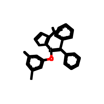 Cc1cc(C)cc([O][Ti]([C]2=C(C(C)(C)C)C=CC2)=[C](c2ccccc2)c2ccccc2)c1